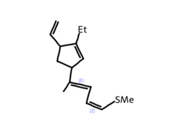 C=CC1CC(/C(C)=C/C=C\SC)C=C1CC